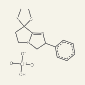 CSC1(SC)CCN2CC(c3ccccc3)N=C21.[O-][Cl+3]([O-])([O-])O